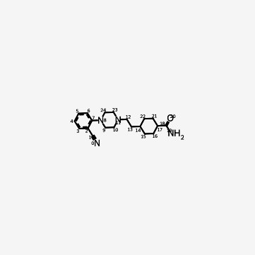 N#Cc1ccccc1N1CCN(CCC2CCC(C(N)=O)CC2)CC1